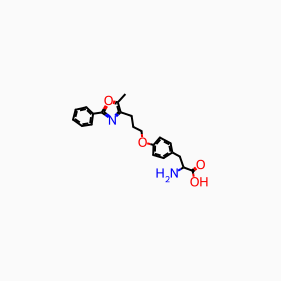 Cc1oc(-c2ccccc2)nc1CCCOc1ccc(CC(N)C(=O)O)cc1